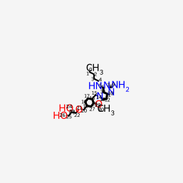 CCCCCNc1nc(N)nc2ccn(Cc3ccc(COC[C@H](O)CO)cc3OC)c12